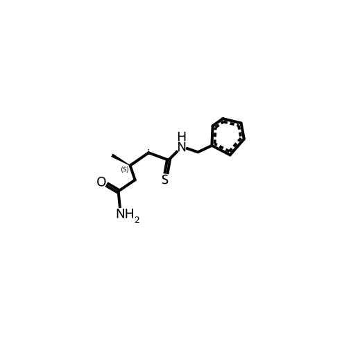 C[C@@H]([CH]C(=S)NCc1ccccc1)CC(N)=O